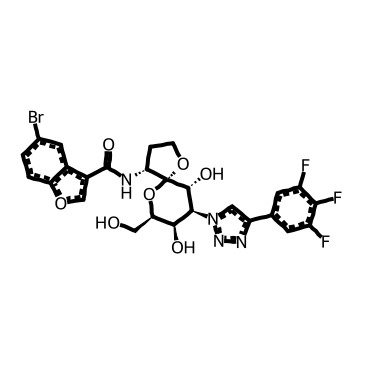 O=C(N[C@@H]1CCO[C@]12O[C@H](CO)[C@H](O)[C@H](n1cc(-c3cc(F)c(F)c(F)c3)nn1)[C@H]2O)c1coc2ccc(Br)cc12